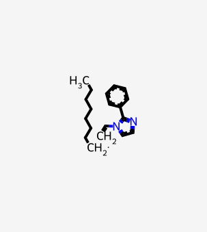 C=Cn1ccnc1-c1ccccc1.[CH2]CCCCCCC